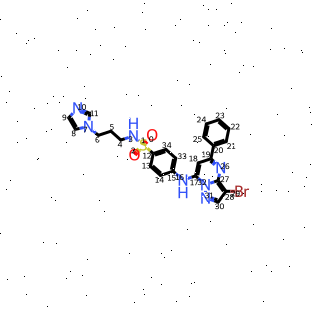 O=S(=O)(NCCCn1ccnc1)c1ccc(Nc2cc(-c3ccccc3)nc3c(Br)cnn23)cc1